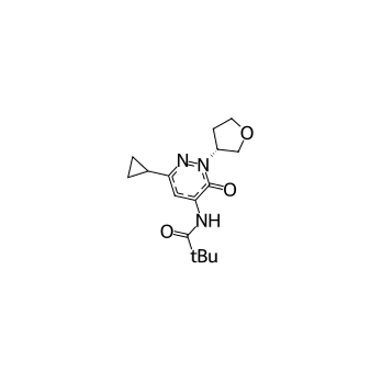 CC(C)(C)C(=O)Nc1cc(C2CC2)nn([C@@H]2CCOC2)c1=O